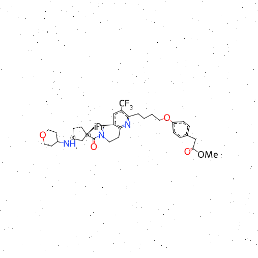 COC(=O)Cc1ccc(OCCCCc2nc3c(cc2C(F)(F)F)CN(C(=O)[C@@]2(C(C)C)CC[C@@H](NC4CCOCC4)C2)CC3)cc1